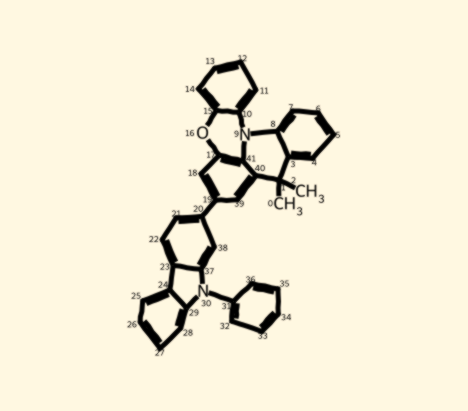 CC1(C)c2ccccc2N2c3ccccc3Oc3cc(-c4ccc5c6ccccc6n(-c6ccccc6)c5c4)cc1c32